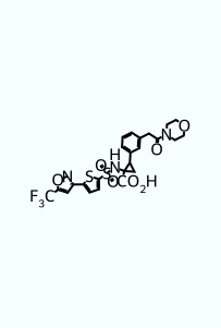 O=C(Cc1cccc(C2CC2(NS(=O)(=O)c2ccc(-c3cc(C(F)(F)F)on3)s2)C(=O)O)c1)N1CCOCC1